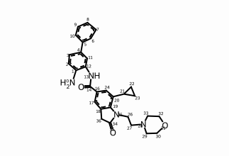 Nc1ccc(-c2ccccc2)cc1NC(=O)c1cc2c(c(C3CC3)c1)N(CCN1CCOCC1)C(=O)C2